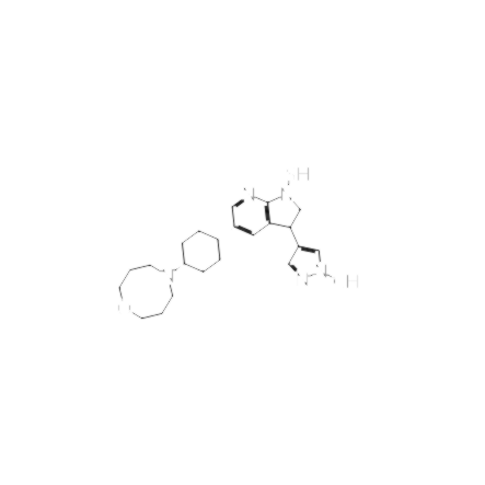 Cn1cc(C2CN(S)c3ncc([C@H]4CC[C@H](N5CCCOCCC5)CC4)cc32)cn1